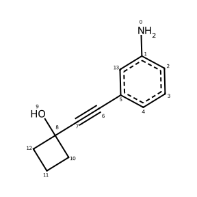 Nc1cccc(C#CC2(O)CCC2)c1